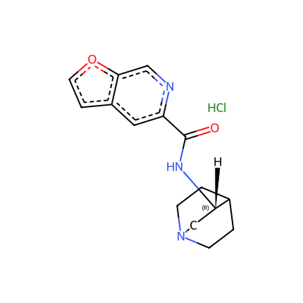 Cl.O=C(N[C@H]1CN2CCC1CC2)c1cc2ccoc2cn1